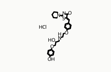 Cl.O=C1N=C(N2CCCCC2)S/C1=C\c1ccc(OCCNC[C@H](O)COc2ccc(O)cc2)cc1